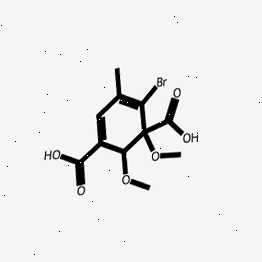 COC1C(C(=O)O)=CC(C)=C(Br)C1(OC)C(=O)O